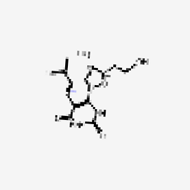 CC(=O)/C=N/c1c(N2C[C@H](O)[C@@H](CCO)O2)[nH]c(=O)[nH]c1=O